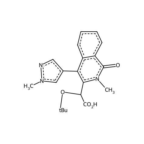 Cn1cc(-c2c(C(OC(C)(C)C)C(=O)O)n(C)c(=O)c3ccccc23)cn1